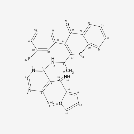 CC(Nc1ncnc(N)c1C(=N)c1ccco1)c1oc2ccccc2c(=O)c1-c1cccc(F)c1